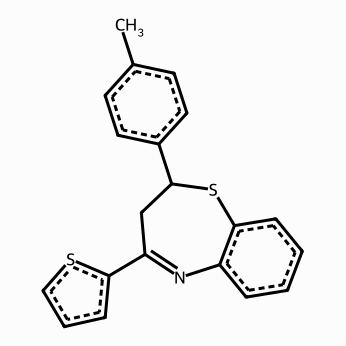 Cc1ccc(C2CC(c3cccs3)=Nc3ccccc3S2)cc1